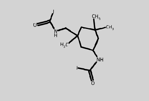 CC1(C)CC(NC(=O)I)CC(C)(CNC(=O)I)C1